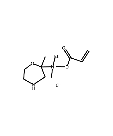 C=CC(=O)O[N+](C)(CC)C1(C)CNCCO1.[Cl-]